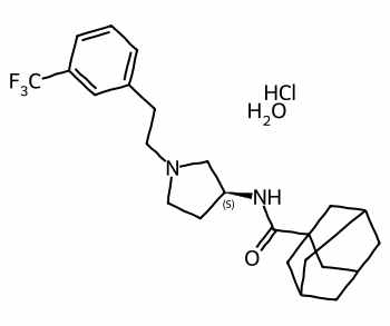 Cl.O.O=C(N[C@H]1CCN(CCc2cccc(C(F)(F)F)c2)C1)C12CC3CC(CC(C3)C1)C2